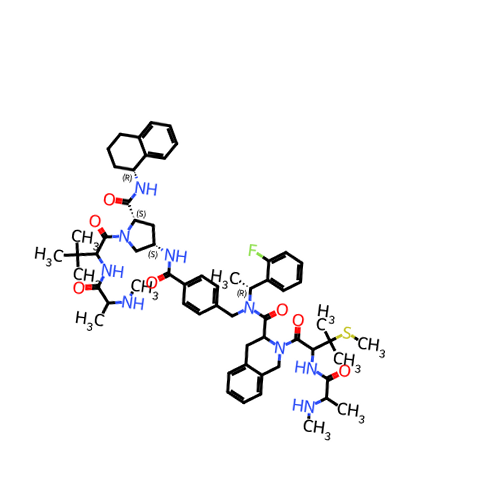 CNC(C)C(=O)NC(C(=O)N1C[C@@H](NC(=O)c2ccc(CN(C(=O)C3Cc4ccccc4CN3C(=O)C(NC(=O)C(C)NC)C(C)(C)SC)[C@H](C)c3ccccc3F)cc2)C[C@H]1C(=O)N[C@@H]1CCCc2ccccc21)C(C)(C)C